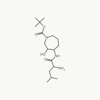 CC(C)CC(N)C(=O)NC1CCCN(C(=O)OC(C)(C)C)CC1O